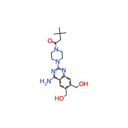 CC(C)(C)CC(=O)N1CCN(c2nc(N)c3cc(CO)c(CO)cc3n2)CC1